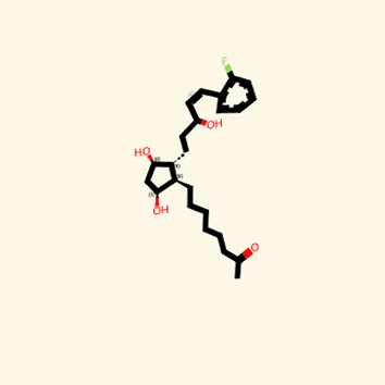 CC(=O)CCCCCC[C@@H]1[C@@H](CCC(O)/C=C\c2ccccc2F)[C@H](O)C[C@@H]1O